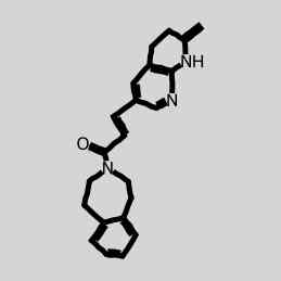 C=C1CCc2cc(/C=C/C(=O)N3CCc4ccccc4CC3)cnc2N1